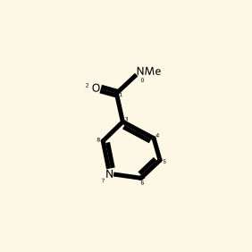 CNC(=O)c1cc[c]nc1